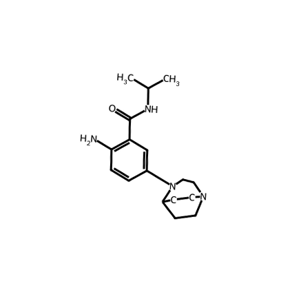 CC(C)NC(=O)c1cc(N2CCN3CCC2CC3)ccc1N